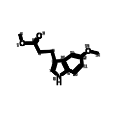 COC(=O)CCc1c[nH]c2ccc(OC)cc12